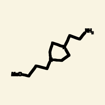 COCCCN1CCN(CCN)CC1